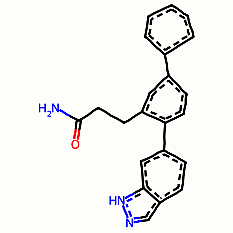 NC(=O)CCc1cc(-c2ccccc2)ccc1-c1ccc2cn[nH]c2c1